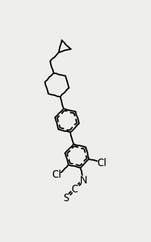 S=C=Nc1c(Cl)cc(-c2ccc(C3CCC(CC4CC4)CC3)cc2)cc1Cl